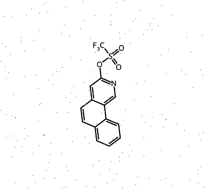 O=S(=O)(Oc1cc2ccc3ccccc3c2cn1)C(F)(F)F